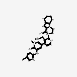 Cc1ccc(Nc2cc(-c3ccnc(N4CCn5c(cc6c5CCCC6)C4=O)c3CO)cn(C)c2=O)nc1